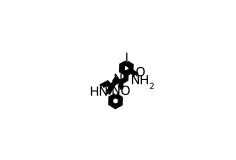 N#CC1(N(C(=O)[CH]Cc2ccc(I)cc2C(N)=O)C2CCCCC2)CCNC1